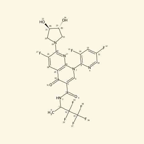 CC(NC(=O)c1cn(-c2ncc(F)cc2F)c2nc(N3C[C@@H](O)[C@H](O)C3)c(F)cc2c1=O)C(F)(F)C(F)(F)F